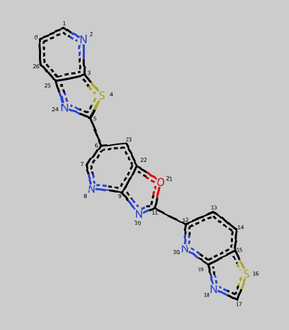 c1cnc2sc(-c3cnc4nc(-c5ccc6scnc6n5)oc4c3)nc2c1